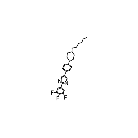 CCCCCC[C@H]1CC[C@H](c2ccc(-c3cnc(-c4cc(F)c(F)c(F)c4)nc3)cc2)CC1